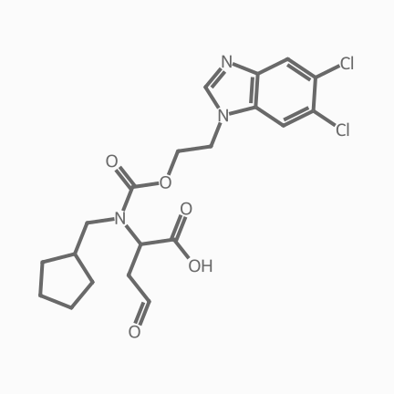 O=CCC(C(=O)O)N(CC1CCCC1)C(=O)OCCn1cnc2cc(Cl)c(Cl)cc21